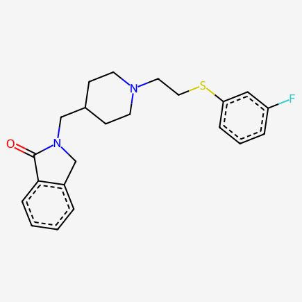 O=C1c2ccccc2CN1CC1CCN(CCSc2cccc(F)c2)CC1